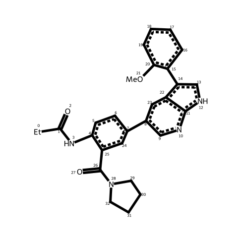 CCC(=O)Nc1ccc(-c2cnc3[nH]cc(-c4ccccc4OC)c3c2)cc1C(=O)N1CCCC1